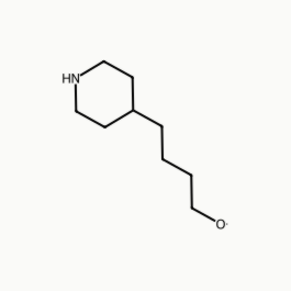 [O]CCCCC1CCNCC1